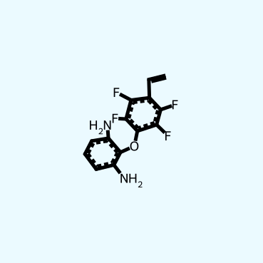 C=Cc1c(F)c(F)c(Oc2c(N)cccc2N)c(F)c1F